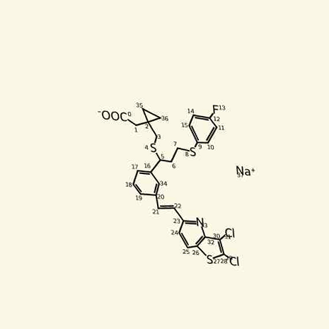 O=C([O-])CC1(CSC(CCSc2ccc(F)cc2)c2cccc(/C=C/c3ccc4sc(Cl)c(Cl)c4n3)c2)CC1.[Na+]